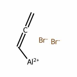 C=C=[CH][Al+2].[Br-].[Br-]